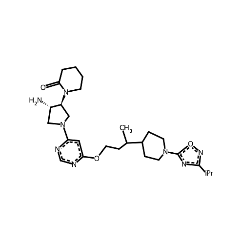 CC(C)c1noc(N2CCC(C(C)CCOc3cc(N4C[C@H](N)[C@@H](N5CCCCC5=O)C4)ncn3)CC2)n1